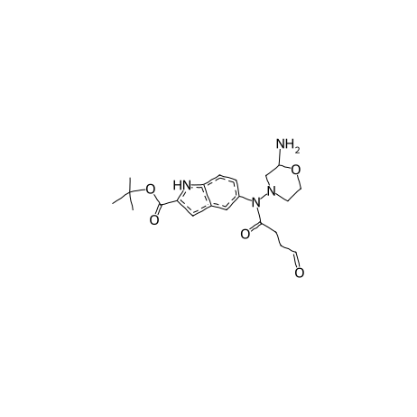 CC(C)(C)OC(=O)c1cc2cc(N(C(=O)CCC=O)N3CCOC(N)C3)ccc2[nH]1